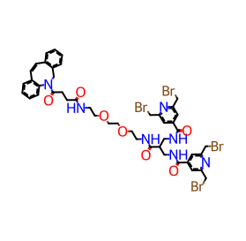 O=C(CCC(=O)N1Cc2ccccc2/C=C\c2ccccc21)NCCOCCOCCNC(=O)C(CNC(=O)c1cc(CBr)nc(CBr)c1)CNC(=O)c1cc(CBr)nc(CBr)c1